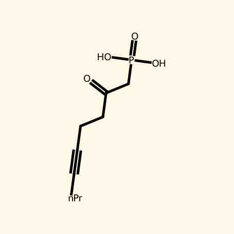 CCCC#CCCC(=O)CP(=O)(O)O